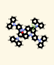 N#Cc1cccc(-n2c3ccc(-n4c5ccccc5c5ccccc54)cc3c3cc(-n4c5ccccc5c5ccccc54)ccc32)c1-c1cc(C(F)(F)F)ccc1-n1c2ccc(-n3c4ccccc4c4ccccc43)cc2c2cc(-n3c4ccccc4c4ccccc43)ccc21